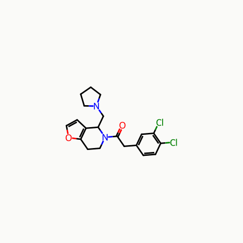 O=C(Cc1ccc(Cl)c(Cl)c1)N1CCc2occc2C1CN1CCCC1